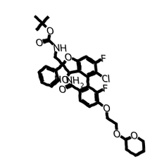 CC(C)(C)OC(=O)NCC1(c2ccccc2)Oc2cc(F)c(Cl)c(-c3c(C(N)=O)ccc(OCCOC4CCCCO4)c3F)c2C1O